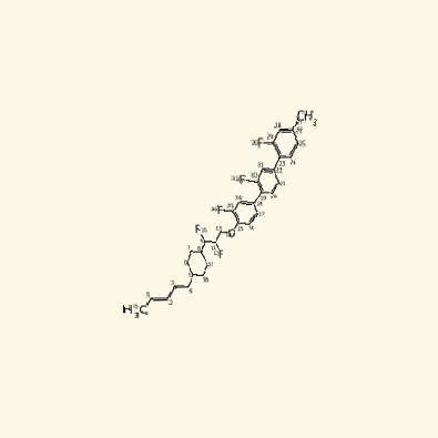 C/C=C/CCC1CCC(C(F)C(F)COc2ccc(-c3ccc(-c4ccc(C)cc4F)cc3F)cc2F)CC1